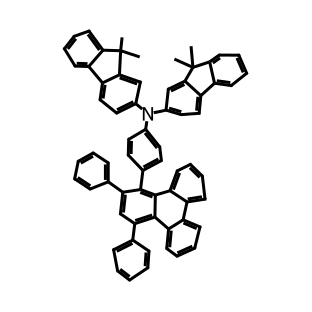 CC1(C)c2ccccc2-c2ccc(N(c3ccc(-c4c(-c5ccccc5)cc(-c5ccccc5)c5c6ccccc6c6ccccc6c45)cc3)c3ccc4c(c3)C(C)(C)c3ccccc3-4)cc21